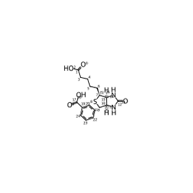 O=C(O)CCCC[C@@H]1SC[C@@H]2NC(=O)N[C@@H]21.O=C(O)c1ccccc1